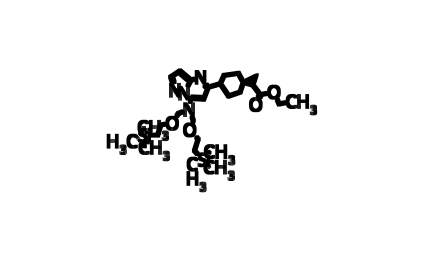 CCOC(=O)C1CC12CCC(c1cc(N(COCC[Si](C)(C)C)COCC[Si](C)(C)C)n3nccc3n1)CC2